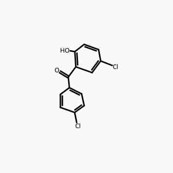 O=C(c1ccc(Cl)cc1)c1cc(Cl)ccc1O